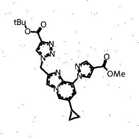 COC(=O)c1cnn(-c2cc(C3CC3)cn3cc(Cn4cc(C(=O)OC(C)(C)C)nn4)nc23)c1